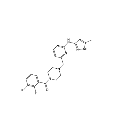 Cc1cc(Nc2cccc(CN3CCN(C(=O)c4cccc(Br)c4F)CC3)n2)n[nH]1